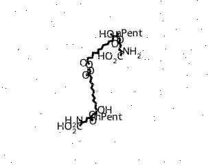 CCCCCC(OC(=O)CCC(N)C(=O)O)C(O)CCCCCCCCCCC(=O)OCOC(=O)CCCCCCCCCCC(O)C(CCCCC)OC(=O)CCC(N)C(=O)O